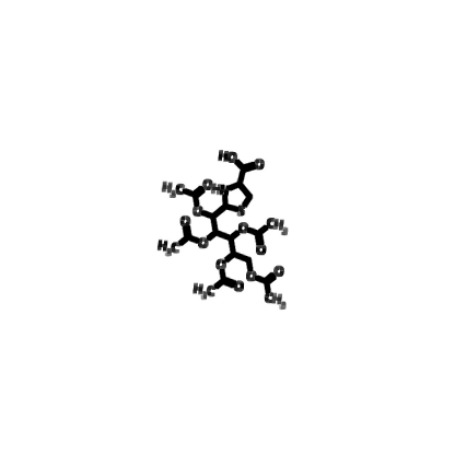 CC(=O)OCC(OC(C)=O)C(OC(C)=O)C(OC(C)=O)C(OC(C)=O)C1NC(C(=O)O)CS1